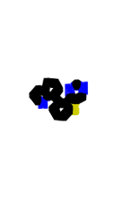 c1cnc2c(-c3cccc4sc5cncnc5c34)cccc2c1